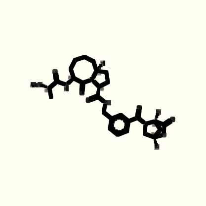 CN[C@@H](C)C(=O)N[C@H]1CCCC[C@H]2CC[C@@H](C(=O)NCc3cccc(C(=O)N4C[C@H]5C[C@@H]4C(=O)O5)c3)N2C1=O